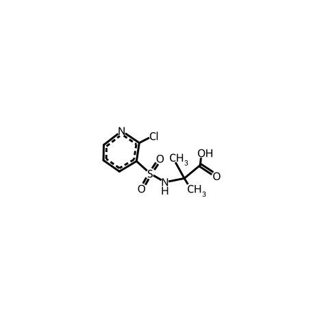 CC(C)(NS(=O)(=O)c1cccnc1Cl)C(=O)O